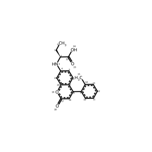 CC[C@H](Nc1ccc2c(-c3ccccc3C)cc(=O)oc2c1)C(=O)O